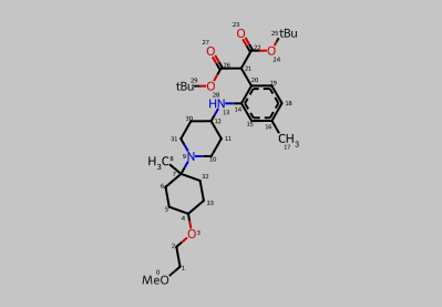 COCCOC1CCC(C)(N2CCC(Nc3cc(C)ccc3C(C(=O)OC(C)(C)C)C(=O)OC(C)(C)C)CC2)CC1